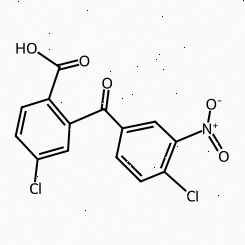 O=C(O)c1ccc(Cl)cc1C(=O)c1ccc(Cl)c([N+](=O)[O-])c1